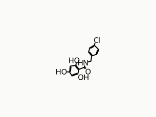 O=C(NCc1ccc(Cl)cc1)c1c(O)cc(O)cc1O